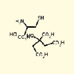 Cl.NC(CS)C(=O)O.O=C(O)CC(O)(CC(=O)O)C(=O)O